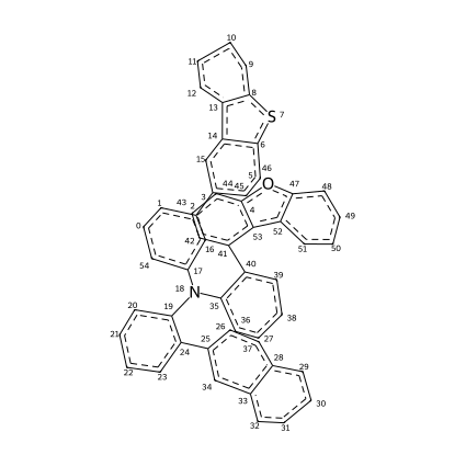 c1cc(-c2ccc3sc4ccccc4c3c2)cc(N(c2ccccc2-c2ccc3ccccc3c2)c2ccccc2-c2cccc3oc4ccccc4c23)c1